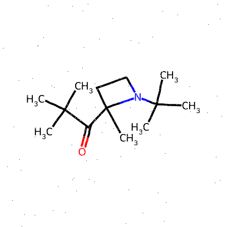 CC(C)(C)C(=O)C1(C)CCN1C(C)(C)C